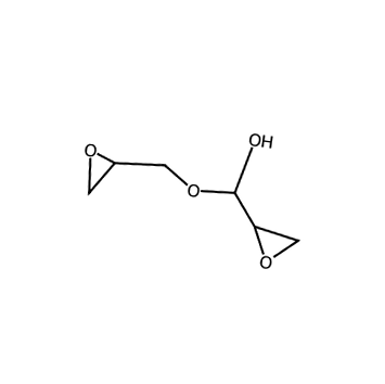 OC(OCC1CO1)C1CO1